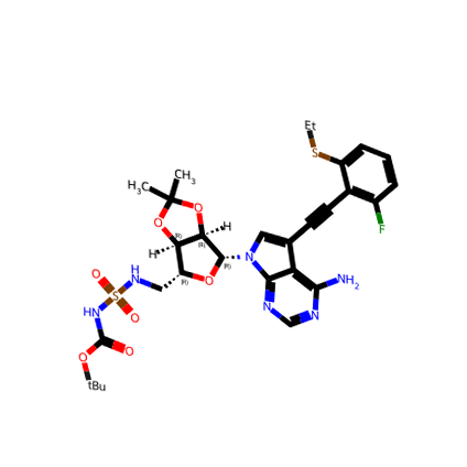 CCSc1cccc(F)c1C#Cc1cn([C@@H]2O[C@H](CNS(=O)(=O)NC(=O)OC(C)(C)C)[C@H]3OC(C)(C)O[C@H]32)c2ncnc(N)c12